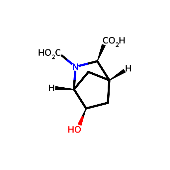 O=C(O)[C@H]1[C@@H]2C[C@@H](O)[C@@H](C2)N1C(=O)O